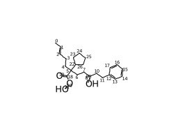 CC=CCCC(CC[C@H](O)CCc1ccccc1)(C(=O)OO)C1CCCC1